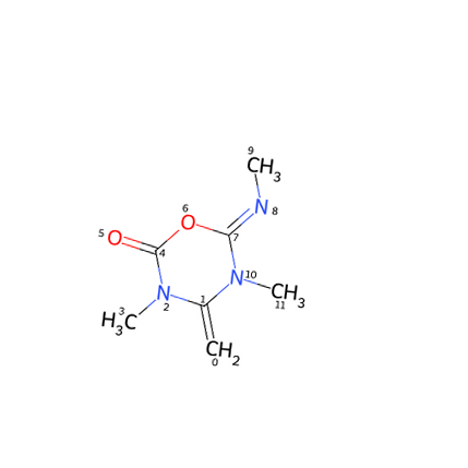 C=C1N(C)C(=O)O/C(=N\C)N1C